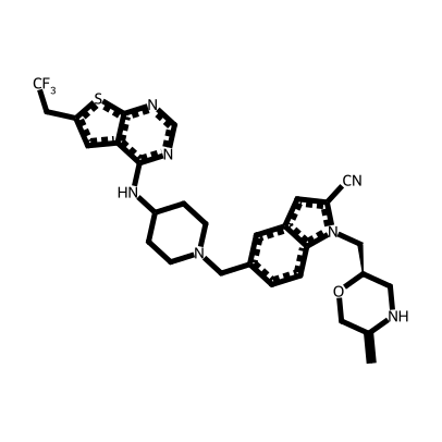 C=C1CO[C@@H](Cn2c(C#N)cc3cc(CN4CCC(Nc5ncnc6sc(CC(F)(F)F)cc56)CC4)ccc32)CN1